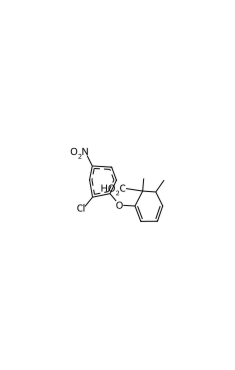 CC1C=CC=C(Oc2ccc([N+](=O)[O-])cc2Cl)C1(C)C(=O)O